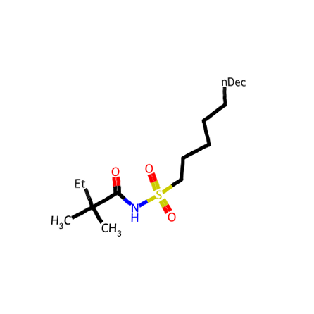 CCCCCCCCCCCCCCCS(=O)(=O)NC(=O)C(C)(C)CC